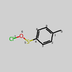 Cc1ccc(SOCl)cc1